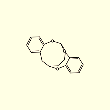 c1ccc2c(c1)CC1CCCC(Cc3ccccc3O1)O2